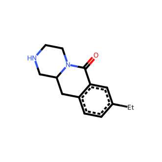 CCc1ccc2c(c1)C(=O)N1CCNCC1C2